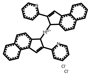 C1=C(c2ccccn2)[CH]([Hf+2][CH]2C(c3ccccn3)=Cc3c2ccc2ccccc32)c2ccc3ccccc3c21.[Cl-].[Cl-]